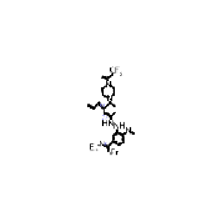 C=C/C=C(\C=C(/C)NNc1cc(/C(CCC)=N/CC)ccc1N=C)C(C)N1CCN(C(=C)CC(F)(F)F)CC1